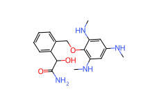 CNc1cc(NC)c(OCc2ccccc2C(O)C(N)=O)c(NC)c1